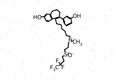 CN(CCCCCCC1=C(c2cccc(O)c2)CCCc2cc(O)ccc21)CCC[S+]([O-])CCC(F)(F)C(F)(F)F